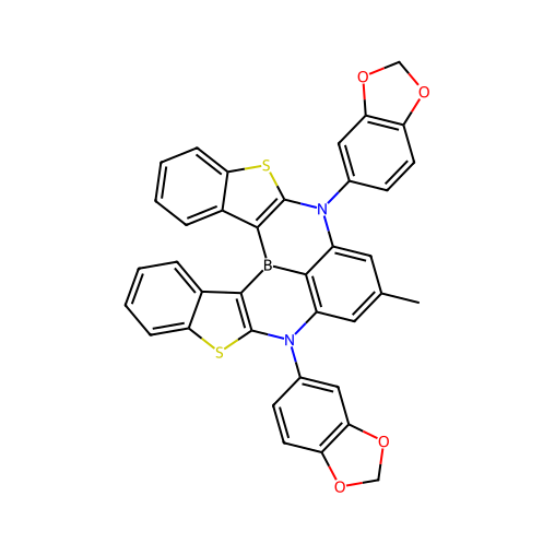 Cc1cc2c3c(c1)N(c1ccc4c(c1)OCO4)c1sc4ccccc4c1B3c1c(sc3ccccc13)N2c1ccc2c(c1)OCO2